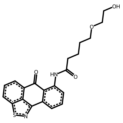 O=C(CCCCOCCO)Nc1cccc2c1C(=O)c1cccc3snc-2c13